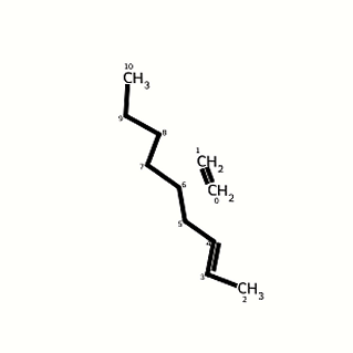 C=C.CC=CCCCCCC